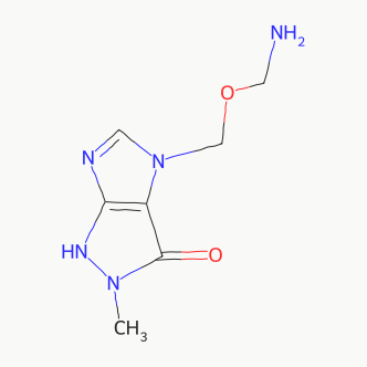 Cn1[nH]c2ncn(COCN)c2c1=O